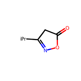 CC(C)C1=NOC(=O)C1